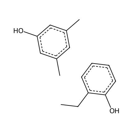 CCc1ccccc1O.Cc1cc(C)cc(O)c1